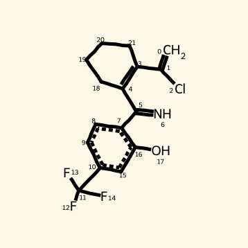 C=C(Cl)C1=C(C(=N)c2ccc(C(F)(F)F)cc2O)CCCC1